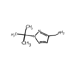 CC(C)(C)n1ccc(P)n1